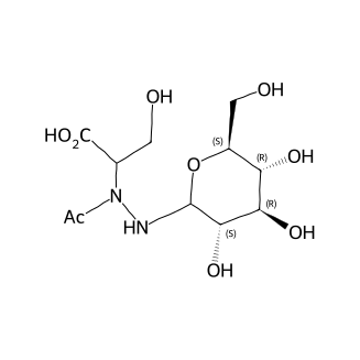 CC(=O)N(NC1O[C@@H](CO)[C@H](O)[C@@H](O)[C@@H]1O)C(CO)C(=O)O